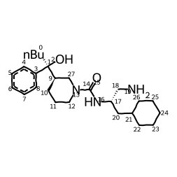 CCCC[C@@](O)(c1ccccc1)[C@@H]1CCCN(C(=O)N[C@H](CN)CC2CCCCC2)C1